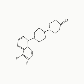 O=C1CCC(C2CCC(c3cccc4c(F)c(F)ccc34)CC2)CC1